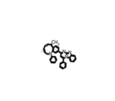 C=C1/C=C\C=C/CN(c2ccccc2)c2cc(-c3cc(-c4ccccc4)n4c(n3)nc3ccccc34)ccc21